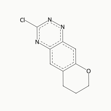 Clc1nnc2cc3c(cc2n1)CCCO3